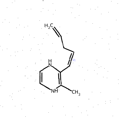 C=CC/C=C\C1=C(C)NC=CN1